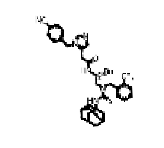 CC[C@H](C)[C@@H](CN(Cc1ccccc1C(F)(F)F)C(=S)NC12CC3CC(CC(C3)C1)C2)NC(=O)Cc1cncn1Cc1ccc(C#N)cc1